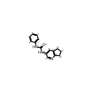 O=C(Nc1ccccc1)Nc1cnc2c(c1)CCC2